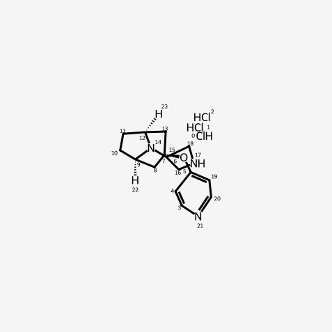 Cl.Cl.Cl.c1cc(O[C@H]2C[C@H]3CC[C@@H](C2)N3C2CNC2)ccn1